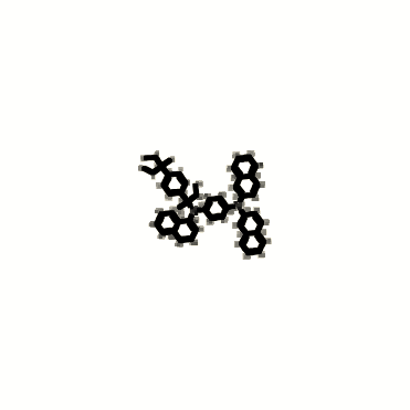 CCC(C)(CC)c1ccc(C(C)(CC)N(c2ccc(N(c3ccc4ccccc4c3)c3ccc4ccccc4c3)cc2)c2cccc3ccccc23)cc1